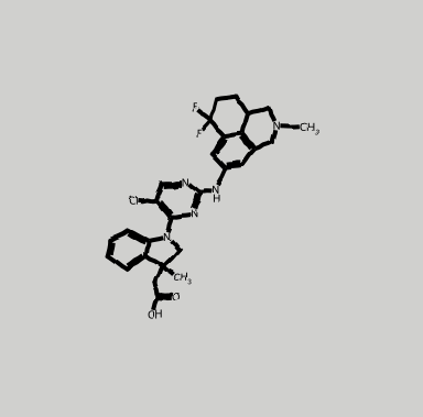 CN1Cc2cc(Nc3ncc(Cl)c(N4CC(C)(CC(=O)O)c5ccccc54)n3)cc3c2C(CCC3(F)F)C1